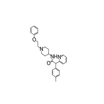 Cc1ccc(C(C(=O)NC2CCN(CCOc3ccccc3)CC2)c2ccccn2)cc1